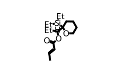 [CH2]CC(OC(=O)C=CC)C1([SiH](CC)CC)CCCCO1